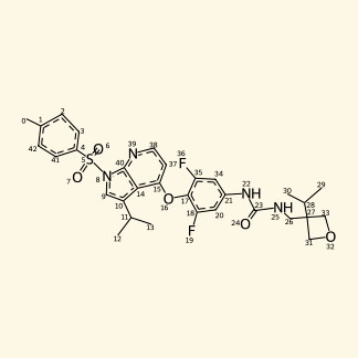 Cc1ccc(S(=O)(=O)n2cc(C(C)C)c3c(Oc4c(F)cc(NC(=O)NCC5(C(C)C)COC5)cc4F)ccnc32)cc1